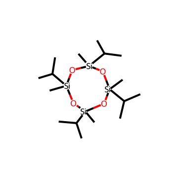 CC(C)[Si]1(C)O[Si](C)(C(C)C)O[Si](C)(C(C)C)O[Si](C)(C(C)C)O1